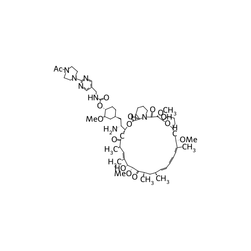 CO[C@H]1C[C@@H]2CC[C@@H](C)[C@@](O)(O2)C(=O)C(=O)N2CCCC[C@H]2C(=O)O[C@H]([C@H](N)C[C@@H]2CC[C@@H](OC(=O)NCc3cnc(N4CCN(C(C)=O)CC4)nc3)[C@H](OC)C2)CC(=O)[C@H](C)/C=C(\C)[C@@H](O)[C@@H](OC)C(=O)[C@H](C)C[C@H](C)/C=C/C=C/C=C/1C